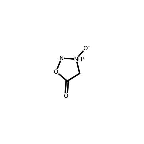 O=C1C[NH+]([O-])[N]O1